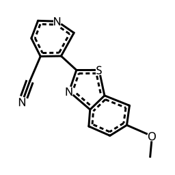 COc1ccc2nc(-c3cnccc3C#N)sc2c1